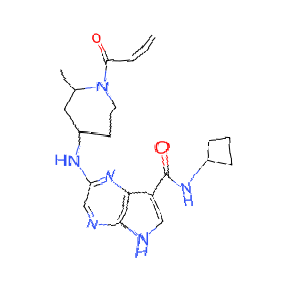 C=CC(=O)N1CCC(Nc2cnc3[nH]cc(C(=O)NC4CCC4)c3n2)CC1C